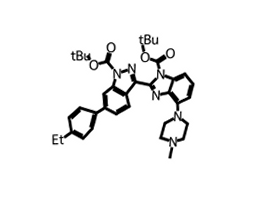 CCc1ccc(-c2ccc3c(-c4nc5c(N6CCN(C)CC6)cccc5n4C(=O)OC(C)(C)C)nn(C(=O)OC(C)(C)C)c3c2)cc1